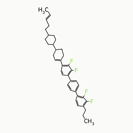 C/C=C/CCC1CCC(C2CC=C(c3ccc(-c4ccc(-c5ccc(CCC)c(F)c5F)cc4)c(F)c3F)CC2)CC1